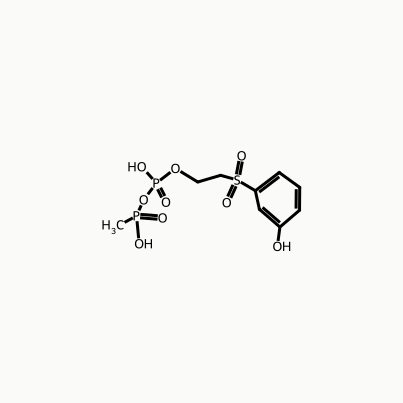 CP(=O)(O)OP(=O)(O)OCCS(=O)(=O)c1cccc(O)c1